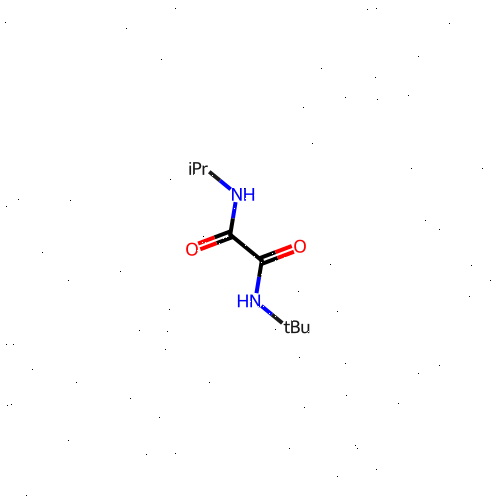 CC(C)NC(=O)C(=O)NC(C)(C)C